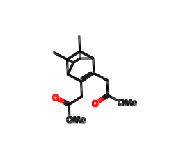 COC(=O)CC1=C(CC(=O)OC)C2CCC1C(C)C2C